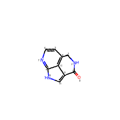 O=C1NCc2ccnc3[nH]cc1c23